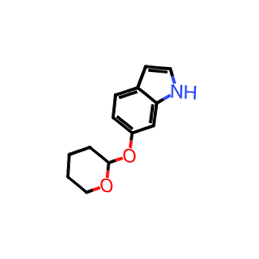 c1cc2ccc(OC3CCCCO3)cc2[nH]1